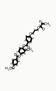 C=C(F)C(=O)OCCCOc1ccc(C(=O)Oc2ccc(OC(=O)c3ccc(OC)cc3)cc2C)cc1